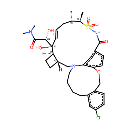 C[C@@H]1[C@@H](C)C/C=C/[C@@](O)([C@@H](O)C(=O)N(C)C)[C@@H]2CC[C@H]2CN2CCCCc3cc(Cl)ccc3COc3ccc(cc32)C(=O)NS1(=O)=O